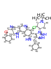 CC(C)(C)N1CCC(N2C=C([C@@H](Nc3cc(Cl)c4ncc(C#N)c(N[C@@H]5CCOc6ccccc65)c4c3)c3ccccc3)NN2)CC1